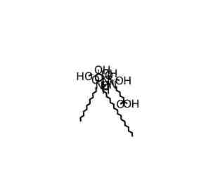 CCCCCCCCCCCCCCCCCC(=O)N(CCCCCCCCCCCC)[C@@H]1O[C@H](CO)[C@@H](O)[C@H](O)[C@@H]1NC(=O)[C@H](CO)NCCCCCC(=O)O